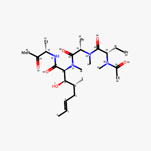 C/C=C/C[C@@H](C)[C@@H](O)[C@@H](C(=O)N[C@@H](CC)C(=O)NC)N(C)C(=O)[C@H](C(C)C)N(C)C(=O)[C@H](CC(C)C)N(C)C(=O)CC